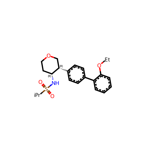 CCOc1ccccc1-c1ccc([C@H]2COCC[C@H]2NS(=O)(=O)C(C)C)cc1